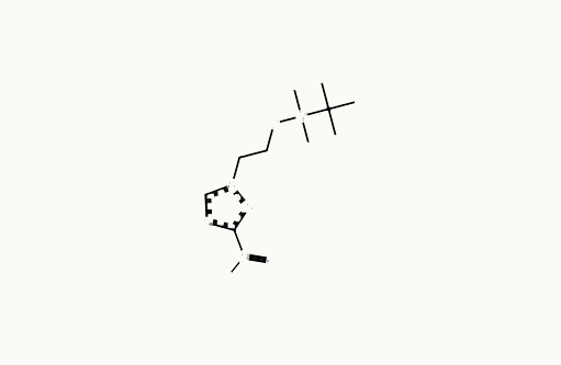 CC(C)(C)[Si](C)(C)OCCn1cnc([N+](=O)[O-])n1